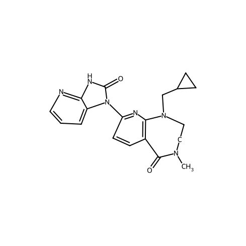 CN1CCN(CC2CC2)c2nc(-n3c(=O)[nH]c4ncccc43)ccc2C1=O